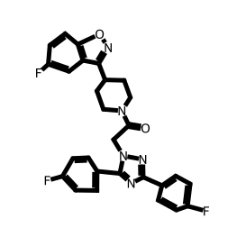 O=C(Cn1nc(-c2ccc(F)cc2)nc1-c1ccc(F)cc1)N1CCC(c2noc3ccc(F)cc23)CC1